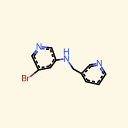 Brc1cncc(NCc2cccnc2)c1